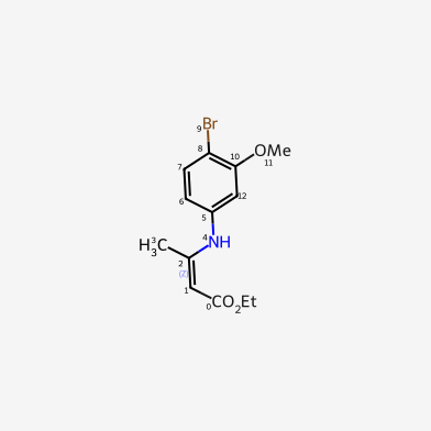 CCOC(=O)/C=C(/C)Nc1ccc(Br)c(OC)c1